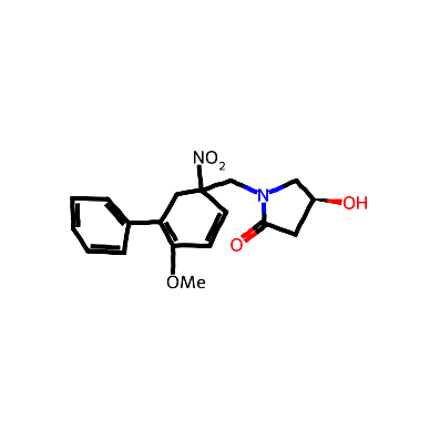 COC1=C(c2ccccc2)CC(CN2C[C@@H](O)CC2=O)([N+](=O)[O-])C=C1